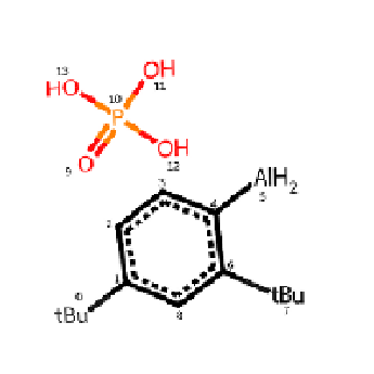 CC(C)(C)c1cc[c]([AlH2])c(C(C)(C)C)c1.O=P(O)(O)O